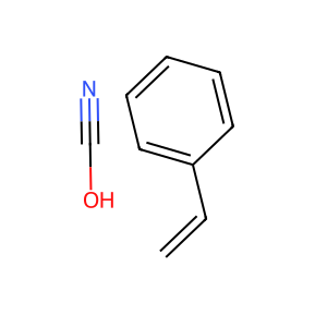 C=Cc1ccccc1.N#CO